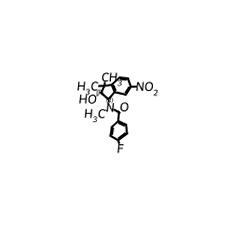 CN(C(=O)c1ccc(F)cc1)[C@@H]1c2cc([N+](=O)[O-])ccc2C(C)(C)[C@H]1O